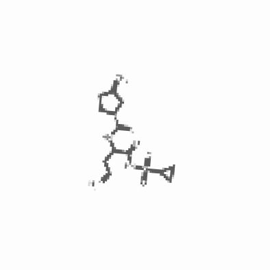 C=CCC(NC(=O)[C@H]1CCC(=C)C1)C(=O)NS(=O)(=O)C1CC1